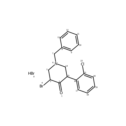 Br.O=C1C(Br)CN(Cc2ccccc2)CC1c1ccccc1Cl